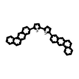 c1ccc2c(c1)ccc1cc3cc(-c4ccc(-c5ccc(-c6ccc7cc8c(ccc9ccccc98)cc7c6)s5)s4)ccc3cc12